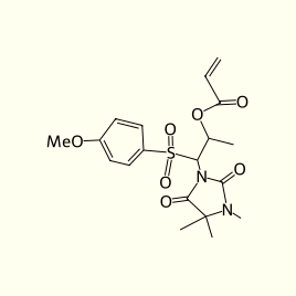 C=CC(=O)OC(C)C(N1C(=O)N(C)C(C)(C)C1=O)S(=O)(=O)c1ccc(OC)cc1